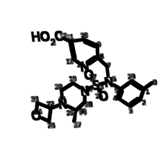 Cc1cccc(N(Cc2ccc(C(=O)O)cn2)S(=O)(=O)N2CCN(C3COC3)[C@H](C)C2)c1